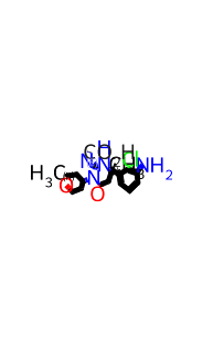 C[C@@H]1CC(N2C(=O)C[C@@](C)(c3cccc(N)c3Cl)N/C2=N\C(=O)O)CCO1